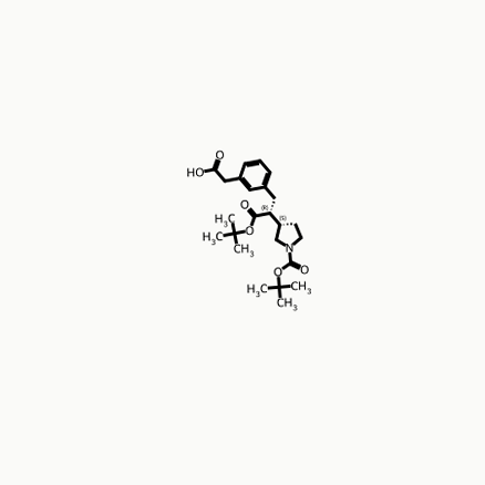 CC(C)(C)OC(=O)[C@H](Cc1cccc(CC(=O)O)c1)[C@@H]1CCN(C(=O)OC(C)(C)C)C1